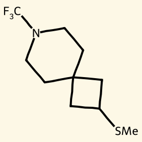 CSC1CC2(CCN(C(F)(F)F)CC2)C1